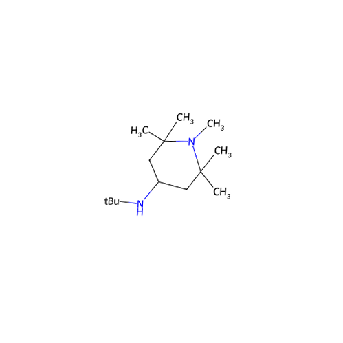 CN1C(C)(C)CC(NC(C)(C)C)CC1(C)C